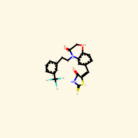 O=C1NC(=S)SC1=Cc1ccc2c(c1)N(CCc1cccc(C(F)(F)F)c1)C(=O)CO2